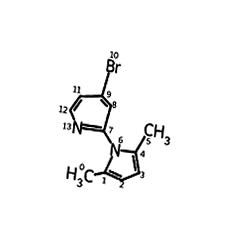 Cc1ccc(C)n1-c1cc(Br)ccn1